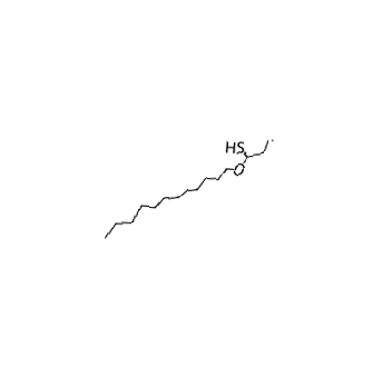 [CH2]CC(S)OCCCCCCCCCCCC